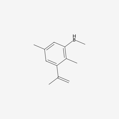 C=C(C)c1cc(C)cc(BC)c1C